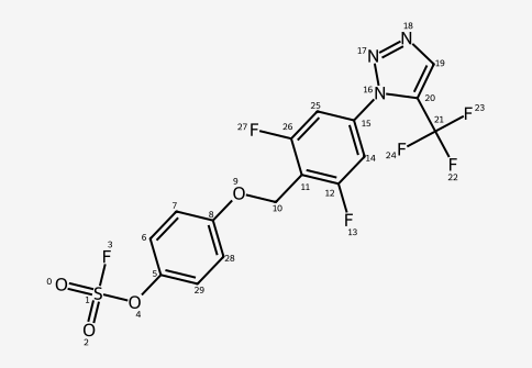 O=S(=O)(F)Oc1ccc(OCc2c(F)cc(-n3nncc3C(F)(F)F)cc2F)cc1